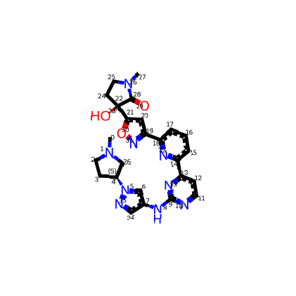 CN1CC[C@H](n2cc(Nc3nccc(-c4cccc(-c5cc([C@]6(O)CCN(C)C6=O)on5)n4)n3)cn2)C1